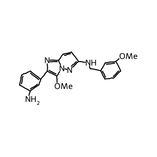 COc1cccc(CNc2ccc3nc(-c4cccc(N)c4)c(OC)n3n2)c1